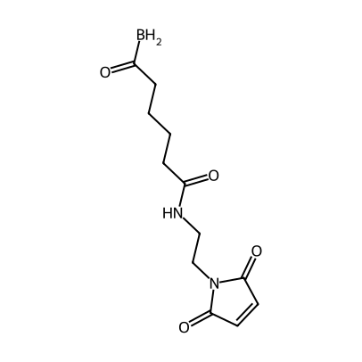 BC(=O)CCCCC(=O)NCCN1C(=O)C=CC1=O